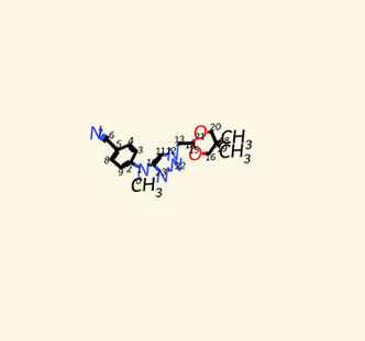 CN(c1ccc(C#N)cc1)c1cn(CC2OCC(C)(C)CO2)nn1